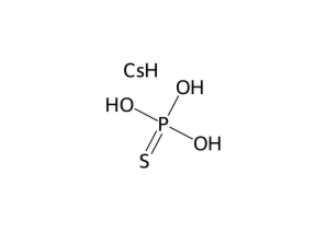 OP(O)(O)=S.[CsH]